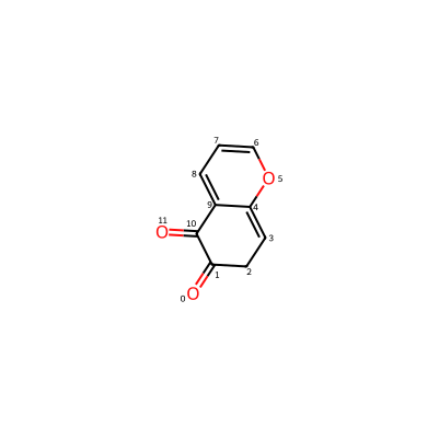 O=C1CC=C2OC=CC=C2C1=O